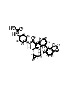 Cc1[nH]c2c(-c3c(OCC4CC4)ccc4c3OCO4)ccnc2c1C(=O)N[C@H]1CC[C@H](NC(=O)O)CC1